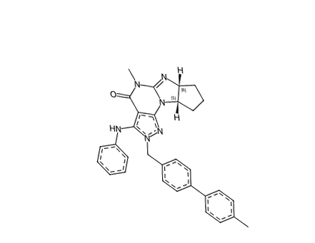 Cc1ccc(-c2ccc(Cn3nc4c(c3Nc3ccccc3)C(=O)N(C)C3=N[C@@H]5CCC[C@@H]5N34)cc2)cc1